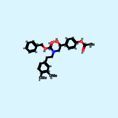 COc1ccc(CCN(CC(O)c2ccc(OC(=O)C(C)(C)C)cc2)C(=O)OCc2ccccc2)cc1OC